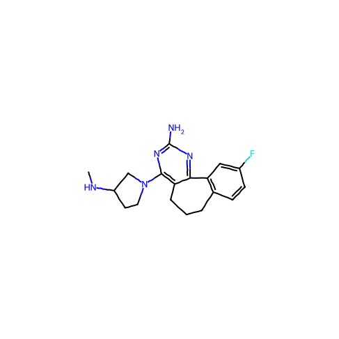 CNC1CCN(c2nc(N)nc3c2CCCc2ccc(F)cc2-3)C1